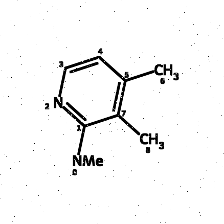 CNc1nccc(C)c1C